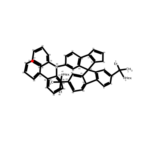 CCCCCCC(C)(CC)c1ccc2c(c1)C1(C3=C(C=CC3)c3ccc(N(c4ccccc4)c4ccccc4-c4ccccc4)cc31)c1cc(C(C)(CC)CCCCCC)ccc1-2